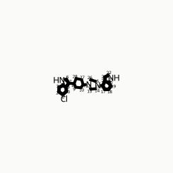 Clc1ccc2[nH]cc(C3CCC(N4CCN(c5cccc6[nH]ccc56)CC4)CC3)c2c1